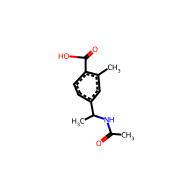 CC(=O)NC(C)c1ccc(C(=O)O)c(C)c1